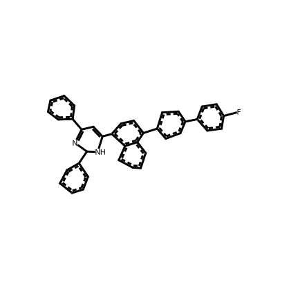 Fc1ccc(-c2ccc(-c3ccc(C4=CC(c5ccccc5)=NC(c5ccccc5)N4)c4ccccc34)cc2)cc1